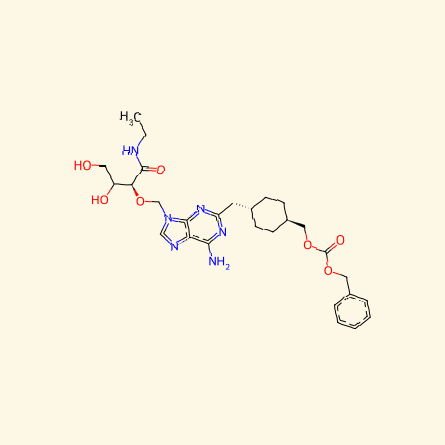 CCNC(=O)[C@@H](OCn1cnc2c(N)nc(C[C@H]3CC[C@H](COC(=O)OCc4ccccc4)CC3)nc21)C(O)CO